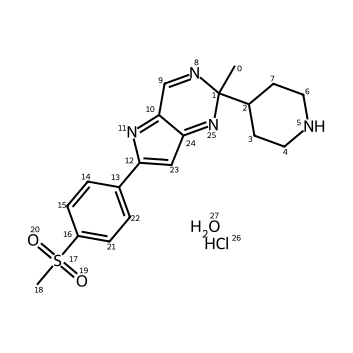 CC1(C2CCNCC2)N=CC2=NC(c3ccc(S(C)(=O)=O)cc3)=CC2=N1.Cl.O